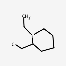 [CH2]CN1CCCCC1CCl